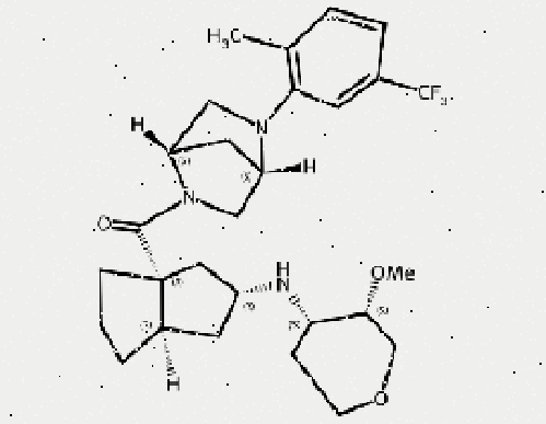 CO[C@@H]1COCC[C@@H]1N[C@@H]1C[C@H]2CCC[C@@]2(C(=O)N2C[C@@H]3C[C@H]2CN3c2cc(C(F)(F)F)ccc2C)C1